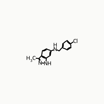 Cc1n[nH]c2cc(NCc3ccc(Cl)cc3)ccc12